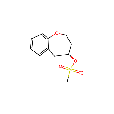 CS(=O)(=O)O[C@@H]1CCOc2ccccc2C1